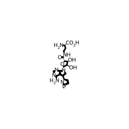 Cn1ccc(-c2cn([C@@H]3O[C@H](C(=O)NCC[C@H](N)C(=O)O)[C@@H](O)[C@H]3O)c3ncnc(N)c23)n1